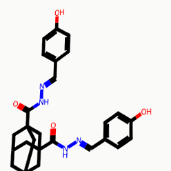 O=C(N/N=C/c1ccc(O)cc1)C12CC3CC(C1)CC(C(=O)N/N=C/c1ccc(O)cc1)(C3)C2